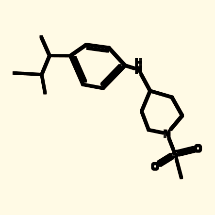 CC(C)C(C)c1ccc(NC2CCN(S(C)(=O)=O)CC2)cc1